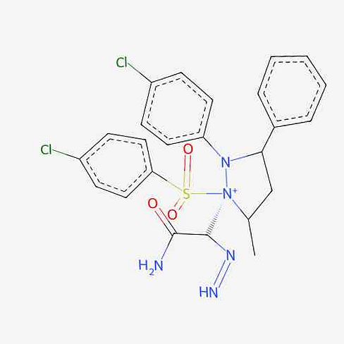 CC1CC(c2ccccc2)N(c2ccc(Cl)cc2)[N@+]1(C(N=N)C(N)=O)S(=O)(=O)c1ccc(Cl)cc1